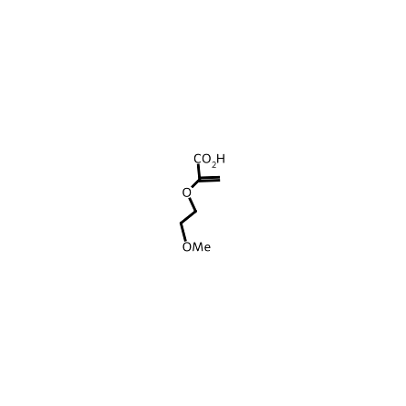 C=C(OCCOC)C(=O)O